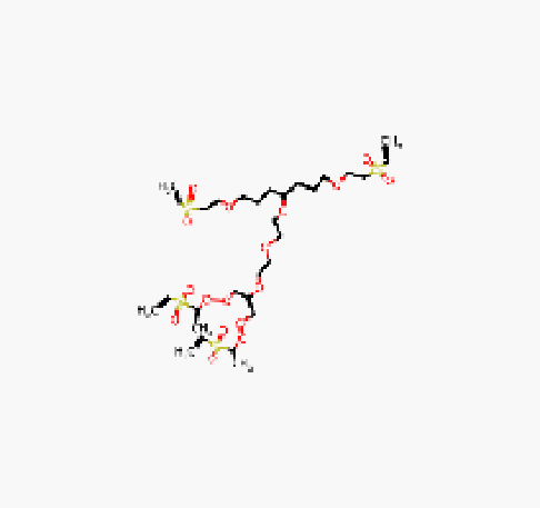 C=CS(=O)(=O)CCOCCCC(CCCOCCS(=O)(=O)C=C)OCCOCCOC(COOC(C)S(=O)(=O)C=C)COOC(C)S(=O)(=O)C=C